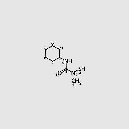 CN(S)C(=O)NC1CCCCC1